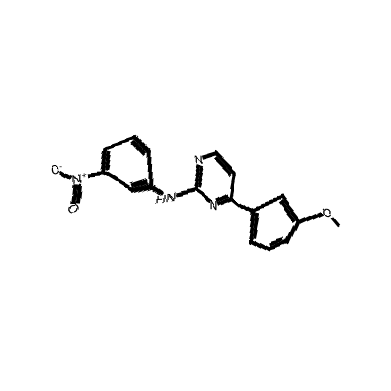 COc1cccc(-c2ccnc(Nc3cccc([N+](=O)[O-])c3)n2)c1